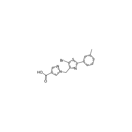 Cc1cccc(-c2nc(Cn3cc(C(=O)O)cn3)c(Br)s2)c1